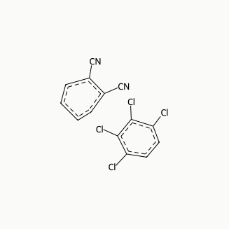 Clc1ccc(Cl)c(Cl)c1Cl.N#Cc1ccccc1C#N